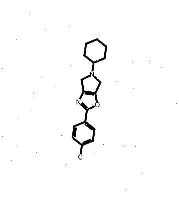 Clc1ccc(-c2nc3c(o2)CN(C2CCCCC2)C3)cc1